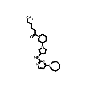 CCCCCC(=O)N1CCCC(N2CCC(Nc3nccc(N4CCCCCC4)n3)C2)C1